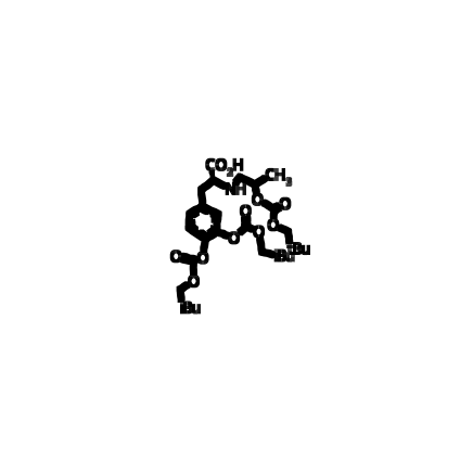 CCC(C)COC(=O)Oc1ccc(C[C@H](NCC(C)OC(=O)OCC(C)(C)C)C(=O)O)cc1OC(=O)OCC(C)CC